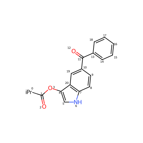 CC(C)C(=O)Oc1c[nH]c2ccc(C(=O)c3ccccc3)cc12